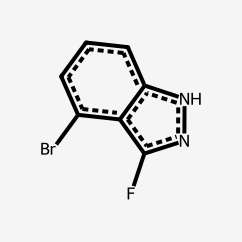 Fc1n[nH]c2cccc(Br)c12